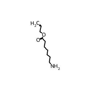 C=CCOC(=O)CCCCCCN